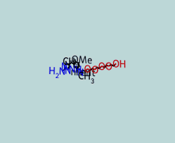 CCCCCNc1nc(N)nc(C)c1Cc1cc(CN(C)CCOCCOCCOCCOCCO)ccc1OC